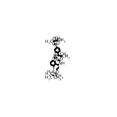 CC1(C)OC(N[C@@H](CCO[Si](C)(C)C(C)(C)C)c2ccccc2F)=NS(=O)(=O)C1c1ccc(B2OC(C)(C)C(C)(C)O2)cc1